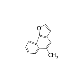 Cc1cc2ccoc2c2ccccc12